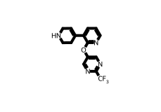 FC(F)(F)c1ncc(Oc2ncccc2C2=CCNCC2)cn1